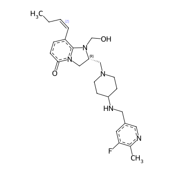 CC/C=C\c1ccc(=O)n2c1N(CO)[C@H](CN1CCC(NCc3cnc(C)c(F)c3)CC1)C2